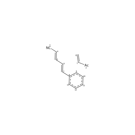 C=CC(C)=O.N#CC=CC=Cc1ccccc1